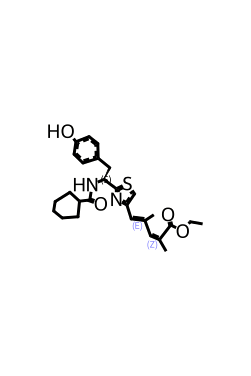 CCOC(=O)/C(C)=C\C(C)=C\c1csc([C@H](Cc2ccc(O)cc2)NC(=O)C2CCCCC2)n1